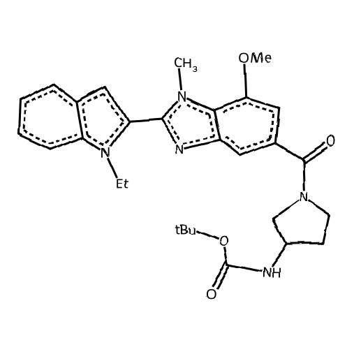 CCn1c(-c2nc3cc(C(=O)N4CCC(NC(=O)OC(C)(C)C)C4)cc(OC)c3n2C)cc2ccccc21